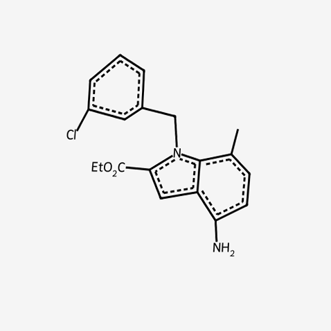 CCOC(=O)c1cc2c(N)ccc(C)c2n1Cc1cccc(Cl)c1